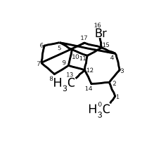 CCC1CC2C3CC4CC5C3C(C5(C)C1)C2(Br)C4